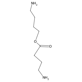 NCCCCOC(=O)CCCN